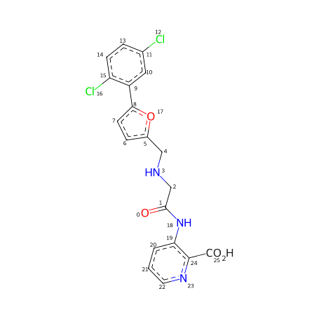 O=C(CNCc1ccc(-c2cc(Cl)ccc2Cl)o1)Nc1cccnc1C(=O)O